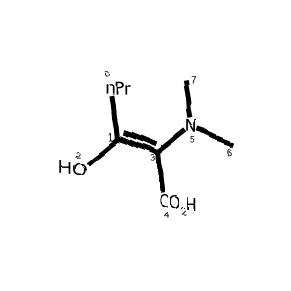 CCC/C(O)=C(/C(=O)O)N(C)C